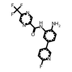 Nc1ccc(-c2ccc(F)nc2)cc1NC(=O)c1cnc(C(F)(F)F)cn1